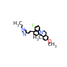 CCCn1cnc(/C=C/c2ccc(C3(C)c4ccc(OC)cc4CCN3c3ccc(F)cc3)cc2)c1